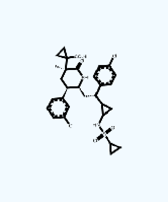 C[C@@]1(C2(C(=O)O)CC2)C[C@H](c2cccc(Cl)c2)[C@H](C[C@H](c2ccc(Cl)cc2)C2CC2NS(=O)(=O)C2CC2)NC1=O